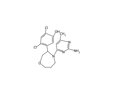 Cc1cc(N2CCCOCC2c2cc(O)c(Cl)cc2Cl)nc(N)n1